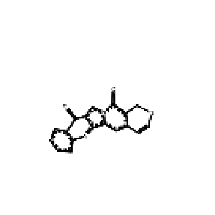 O=C1c2ccccc2N=c2c1cn1c(=O)c3c(cc21)C=COC3